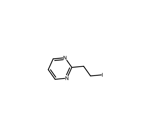 ICCc1ncccn1